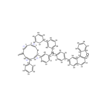 C=C1/C=C\C=C/C/C(c2cccc(N(c3ccc(-c4ccc5ccc6oc7ccccc7c6c5c4)cc3)c3cccc(C4C=CC=CC4)c3)c2)=C\C(c2ccccc2)=C/1